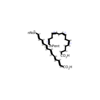 CCCCC/C=C\C/C=C\C/C=C\C/C=C\CCCC(=O)O.CCCCCCCCCC=CC=CC=CC=CC=CC=CC(=O)O